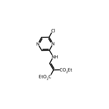 CCOC(=O)C(=CNc1cncc(Cl)n1)C(=O)OCC